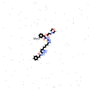 COc1cccc(C(OC(=O)CCN2CCOCC2)C(=O)Nc2nnc(CCCCC3=CC=C(NC(=O)Cc4ccccc4)NN3)s2)c1